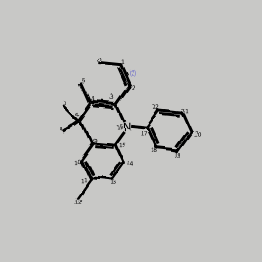 C/C=C\C1=C(C)C(C)(C)c2cc(C)ccc2N1c1ccccc1